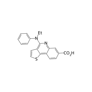 CCN(c1ccccc1)c1nc2cc(C(=O)O)ccc2c2sccc12